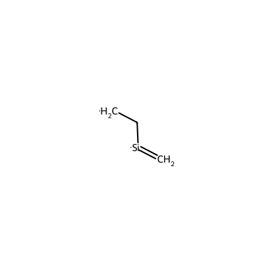 [CH2]C[Si]=C